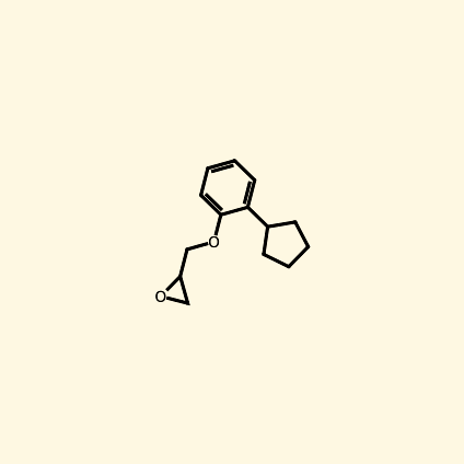 c1ccc(C2CCCC2)c(OCC2CO2)c1